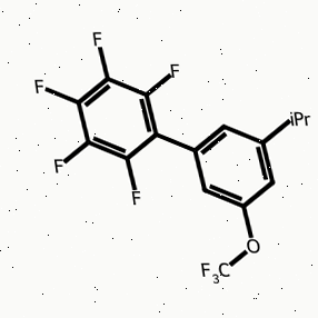 CC(C)c1cc(OC(F)(F)F)cc(-c2c(F)c(F)c(F)c(F)c2F)c1